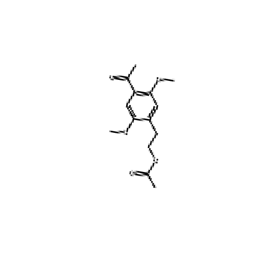 COc1cc(C(C)=O)c(OC)cc1CCOC(C)=O